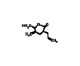 C=CCC1CC(=C)C(C(=O)O)OC1=O